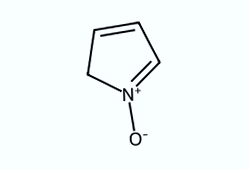 [O-][N+]1=CC=CC1